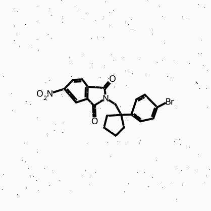 O=C1c2ccc([N+](=O)[O-])cc2C(=O)N1CC1(c2ccc(Br)cc2)CCCC1